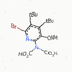 COc1c(N(C(=O)O)C(=O)O)nc(Br)c(C(C)(C)C)c1C(C)(C)C